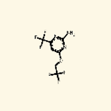 Nc1nc(OCC(F)(F)F)cc(C(F)(F)F)n1